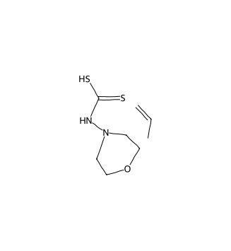 C=CC.S=C(S)NN1CCOCC1